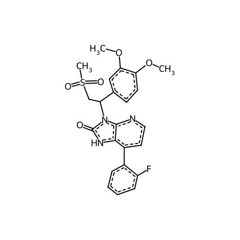 COc1ccc(C(CS(C)(=O)=O)n2c(=O)[nH]c3c(-c4ccccc4F)ccnc32)cc1OC